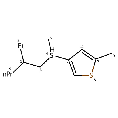 CCCC(CC)C[SiH](C)c1csc(C)c1